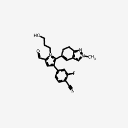 Cn1cc2c(n1)CCC(c1c(-c3ccc(C#N)c(F)c3)cc(C=O)n1CCCO)=C2